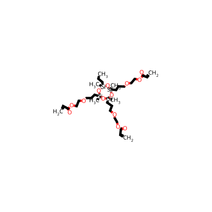 C=CC(=O)OCCOCCC[Si]1(C)O[Si](C)(CCC)O[Si](C)(CCCOCCOC(=O)C=C)O[Si](C)(CCCOCCOC(=O)C=C)O1